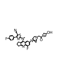 CN(c1nc(-c2ccc(F)cc2)c(C#N)s1)c1c2c(nc3c(F)cc(N4C5CN(CC(=O)N6CC(O)C6)C6CC654)cc13)CCC2